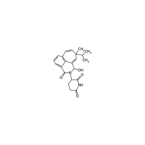 CC(C)C1(C)C=Cc2cccc3c2C(=C1)C(O)N(C1CCC(=O)NC1=O)C3=O